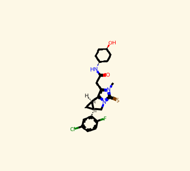 Cn1c(CC(=O)N[C@H]2CC[C@H](O)CC2)c2n(c1=S)C[C@@]1(c3cc(Cl)ccc3F)C[C@@H]21